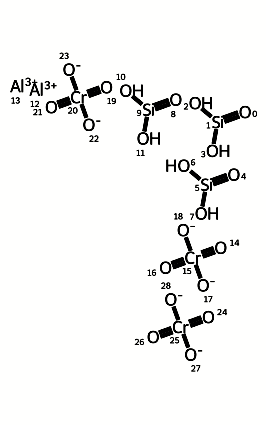 O=[Si](O)O.O=[Si](O)O.O=[Si](O)O.[Al+3].[Al+3].[O]=[Cr](=[O])([O-])[O-].[O]=[Cr](=[O])([O-])[O-].[O]=[Cr](=[O])([O-])[O-]